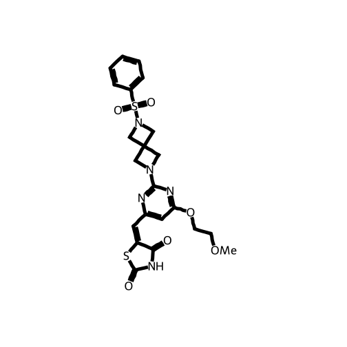 COCCOc1cc(/C=C2/SC(=O)NC2=O)nc(N2CC3(C2)CN(S(=O)(=O)c2ccccc2)C3)n1